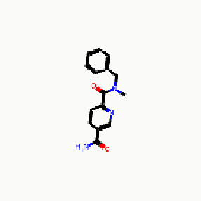 CN(Cc1ccccc1)C(=O)c1ccc(C(N)=O)cn1